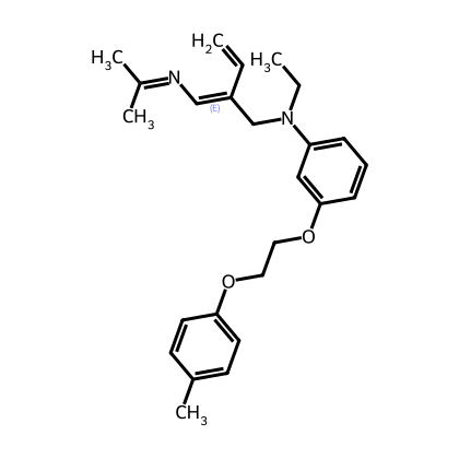 C=C/C(=C\N=C(C)C)CN(CC)c1cccc(OCCOc2ccc(C)cc2)c1